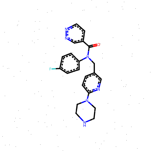 O=C(c1ccnnc1)N(Cc1ccc(N2CCNCC2)nc1)c1ccc(F)cc1